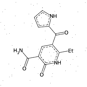 CCc1[nH]c(=O)c(C(N)=O)cc1C(=O)c1ccc[nH]1